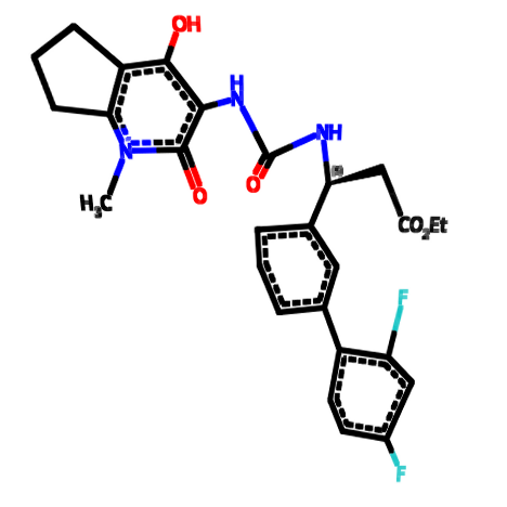 CCOC(=O)C[C@H](NC(=O)Nc1c(O)c2c(n(C)c1=O)CCC2)c1cccc(-c2ccc(F)cc2F)c1